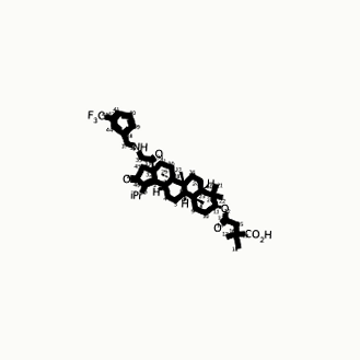 CC(C)C1=C2[C@H]3CC[C@@H]4[C@@]5(C)CC[C@H](OC(=O)CC(C)(C)C(=O)O)C(C)(C)[C@@H]5CC[C@@]4(C)[C@]3(C)CC[C@@]2(C(=O)CNCc2cccc(C(F)(F)F)c2)CC1=O